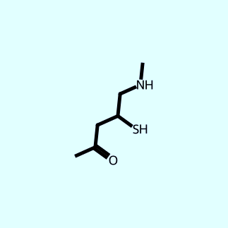 CNCC(S)CC(C)=O